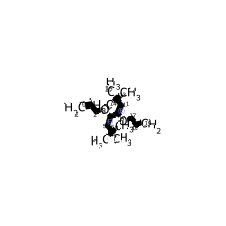 C=CCOC(=C/C(C)(C)C)/C(=C\C(C)(C)C)OCC=C